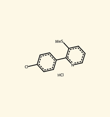 CSc1cccnc1-c1ccc(Cl)cc1.Cl